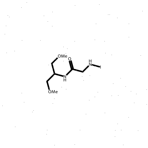 COCC(COC)NC(=O)CNI